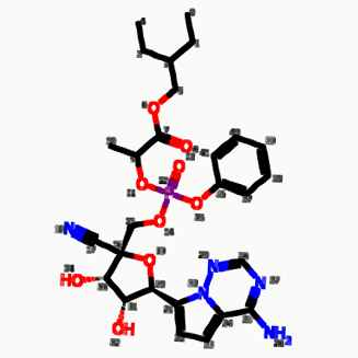 CCC(CC)COC(=O)C(C)OP(=O)(OC[C@@]1(C#N)O[C@@H](c2ccc3c(N)ncnn23)[C@H](O)[C@@H]1O)Oc1ccccc1